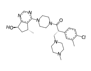 Cc1cc([C@H](CN2CCN(C)CC2)C(=O)N2CCN(c3ncnc4c3[C@H](C)C[C@H]4O)CC2)ccc1Cl